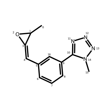 CC1OC1=Cc1cccc(-c2nnnn2C)c1